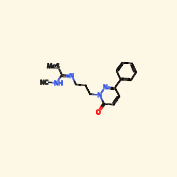 CSC(=NCCCn1nc(-c2ccccc2)ccc1=O)NC#N